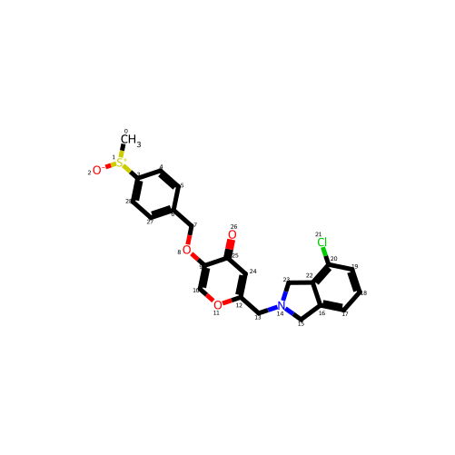 C[S+]([O-])c1ccc(COc2coc(CN3Cc4cccc(Cl)c4C3)cc2=O)cc1